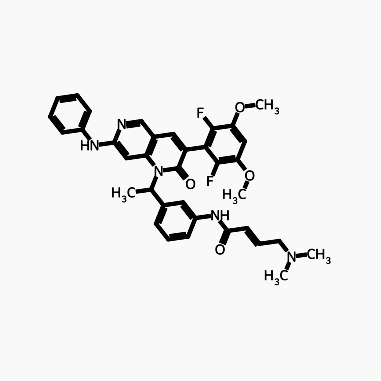 COc1cc(OC)c(F)c(-c2cc3cnc(Nc4ccccc4)cc3n(C(C)c3cccc(NC(=O)/C=C/CN(C)C)c3)c2=O)c1F